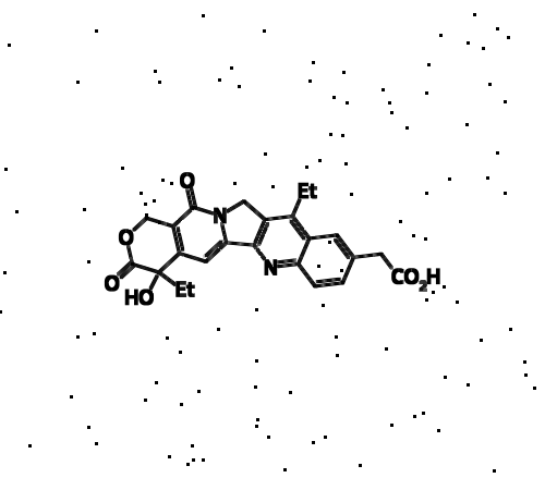 CCc1c2c(nc3ccc(CC(=O)O)cc13)-c1cc3c(c(=O)n1C2)COC(=O)C3(O)CC